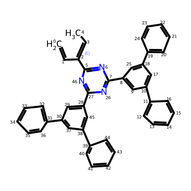 C=C/C(=C\C)c1nc(-c2cc(-c3ccccc3)cc(-c3ccccc3)c2)nc(-c2cc(-c3ccccc3)cc(-c3ccccc3)c2)n1